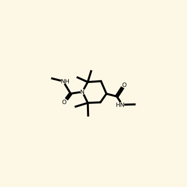 CNC(=O)C1CC(C)(C)N(C(=O)NC)C(C)(C)C1